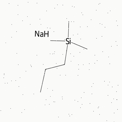 CCC[Si](C)(C)C.[NaH]